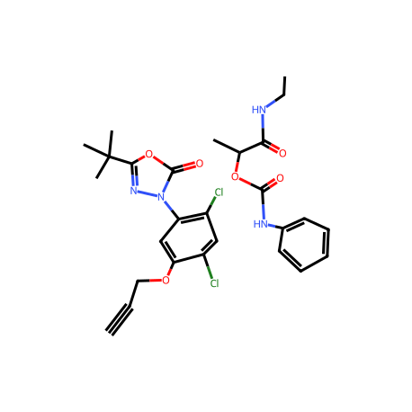 C#CCOc1cc(-n2nc(C(C)(C)C)oc2=O)c(Cl)cc1Cl.CCNC(=O)C(C)OC(=O)Nc1ccccc1